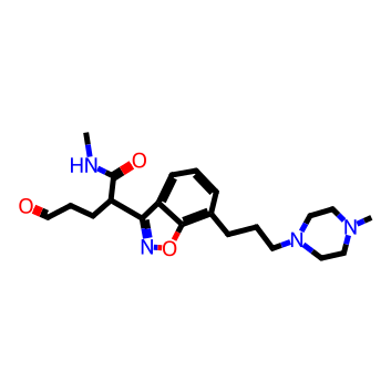 CNC(=O)C(CCC=O)c1noc2c(CCCN3CCN(C)CC3)cccc12